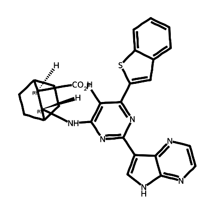 O=C(O)[C@@H]1C2CCC(CC2)[C@H]1Nc1nc(-c2c[nH]c3nccnc23)nc(-c2cc3ccccc3s2)c1F